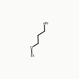 [CH2]CCCCCOC[CH2]